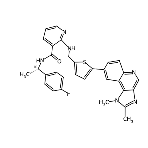 Cc1nc2cnc3ccc(-c4ccc(CNc5ncccc5C(=O)N[C@@H](C)c5ccc(F)cc5)s4)cc3c2n1C